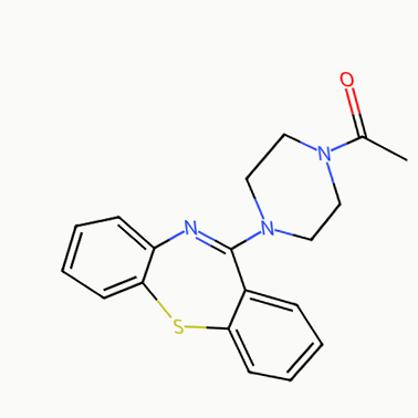 CC(=O)N1CCN(C2=Nc3ccccc3Sc3ccccc32)CC1